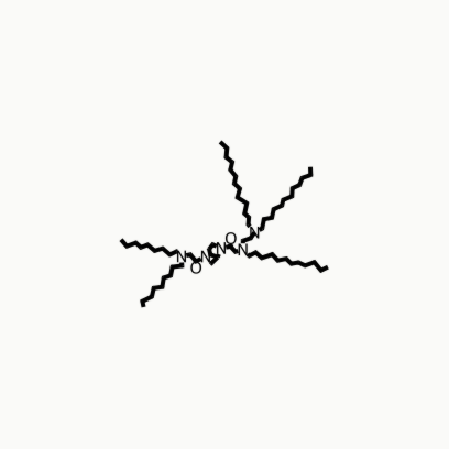 CCCCCCCCCCCCCN(CCCCCCCCCCCC)CCN(CCCCCCCCCCCC)CC(=O)N1CC2CC1CN2C(=O)CN(CCCCCCCCC)CCCCCCCCC